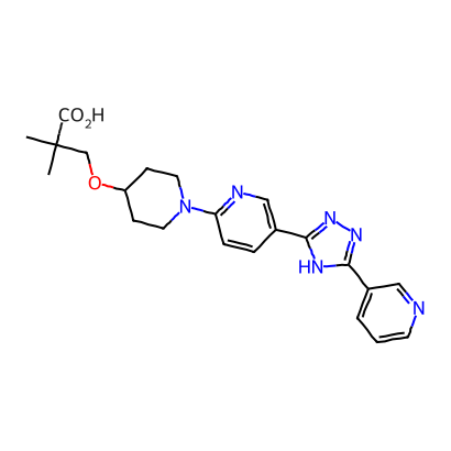 CC(C)(COC1CCN(c2ccc(-c3nnc(-c4cccnc4)[nH]3)cn2)CC1)C(=O)O